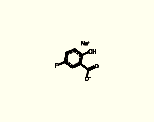 O=C([O-])c1cc(F)ccc1O.[Na+]